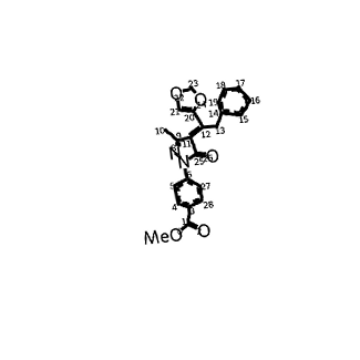 COC(=O)c1ccc(N2N=C(C)C(=C(Cc3ccccc3)C3=COCO3)C2=O)cc1